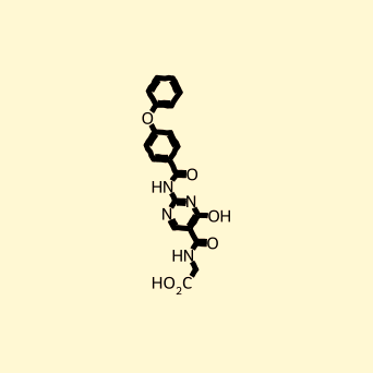 O=C(O)CNC(=O)c1cnc(NC(=O)c2ccc(Oc3ccccc3)cc2)nc1O